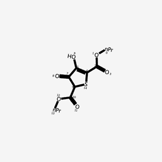 CCCOC(=O)C1=C(O)C(=O)C(C(=O)OCCC)S1